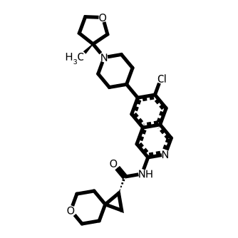 C[C@@]1(N2CCC(c3cc4cc(NC(=O)[C@@H]5CC56CCOCC6)ncc4cc3Cl)CC2)CCOC1